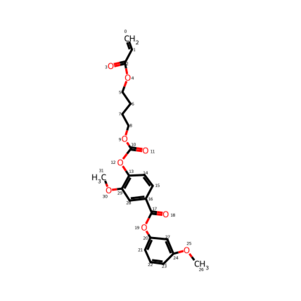 C=CC(=O)OCCCCOC(=O)Oc1ccc(C(=O)Oc2cc[c]c(OC)c2)cc1OC